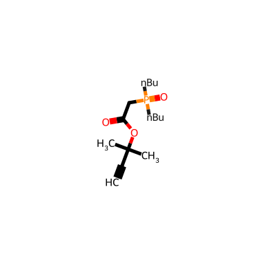 C#CC(C)(C)OC(=O)CP(=O)(CCCC)CCCC